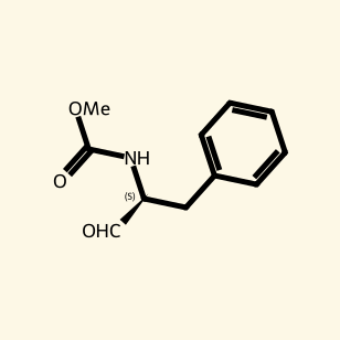 COC(=O)N[C@H](C=O)Cc1ccccc1